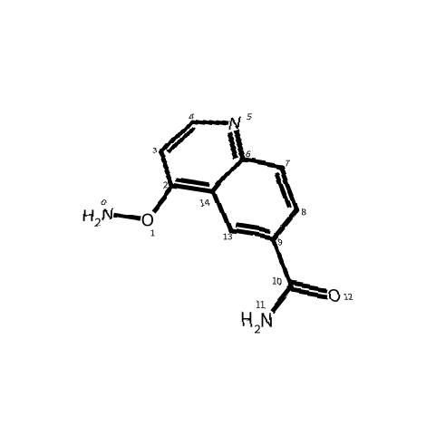 NOc1ccnc2ccc(C(N)=O)cc12